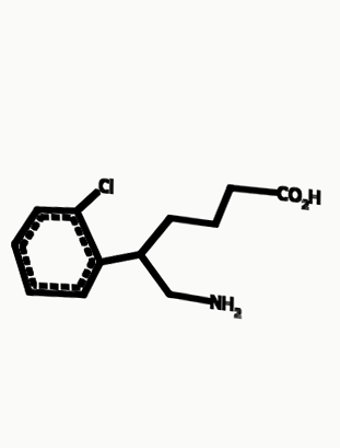 NCC(CCCC(=O)O)c1ccccc1Cl